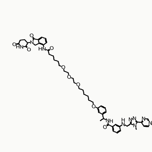 CC(NC(=O)c1cccc(NCc2nnc(-c3ccncn3)n2C)c1)c1cccc(OCCCCCCOCCOCCOCCCCCC(=O)Nc2cccc3c2CN(C2CCC(=O)NC2=O)C3=O)c1